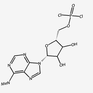 CNc1ncnc2c1ncn2[C@@H]1O[C@H](COP(=O)(Cl)Cl)C(O)C1O